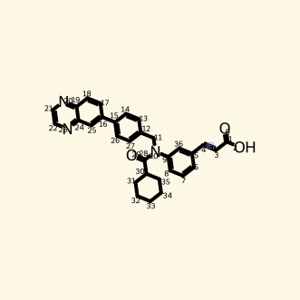 O=C(O)/C=C/c1cccc(N(Cc2ccc(-c3ccc4nccnc4c3)cc2)C(=O)C2CCCCC2)c1